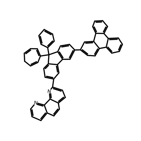 C1=CCC=CC(C2(c3ccccc3)c3ccc(-c4ccc5c6ccccc6c6ccccc6c5c4)cc3-c3cc(-c4ccc5ccc6cccnc6c5n4)ccc32)=C1